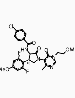 COCCn1cnc(C)c(N2C[C@@H](c3c(F)cc(OC)cc3F)C(NC(=O)c3ccc(Cl)cc3)C2=O)c1=O